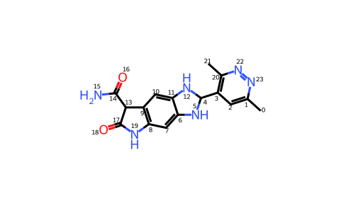 Cc1cc(C2Nc3cc4c(cc3N2)C(C(N)=O)C(=O)N4)c(C)nn1